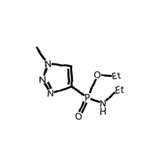 CCNP(=O)(OCC)c1cn(C)nn1